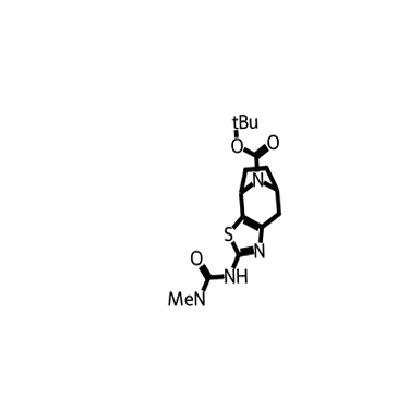 CNC(=O)Nc1nc2c(s1)C1CCC(C2)N1C(=O)OC(C)(C)C